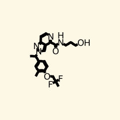 Cc1cc(C(C)n2cc3c(C(=O)NCCCO)nccc3n2)ccc1OCC(C)(F)F